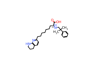 CC(C)(CN[C@@H](CCCCCCCc1ccc2c(n1)NCCC2)C(=O)O)c1ccccc1